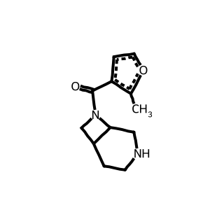 Cc1occc1C(=O)N1CC2CCNCC21